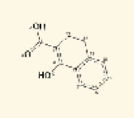 O=C(O)C1=C(O)c2ccccc2CC1